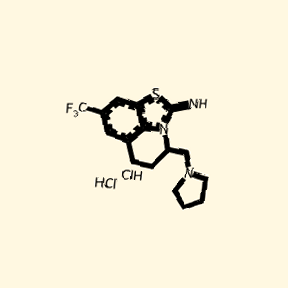 Cl.Cl.N=c1sc2cc(C(F)(F)F)cc3c2n1C(CN1CCCC1)CC3